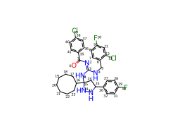 O=C(/N=C(/NCc1ccc(F)cc1Cl)NC1(C2CCCCCCC2)CC(c2ccc(F)cc2)NN1)c1ccc(Cl)cc1